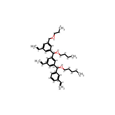 C=Cc1cc(COCCC)cc(C(OCCCC)c2cc(C=C)cc(C(OCCCCC)c3cccc(C=C)c3)c2)c1